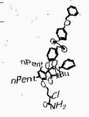 CCCCCc1cc(CCCCC)c(C(Oc2ccc(S(=O)(=O)c3ccc(OCc4ccccc4)cc3)cc2)(C(=O)Nc2ccccc2)C(=O)C(C)(C)C)cc1OCCC(Cl)C(N)=O